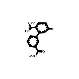 COC(=N)c1ccc(F)cc1-c1cccc(C(=O)OC)c1